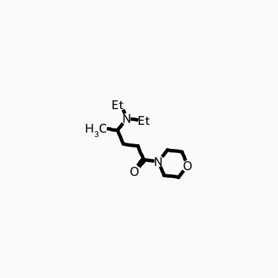 CCN(CC)C(C)CCC(=O)N1CCOCC1